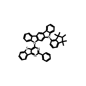 CC1C(C)(C)c2cccc(-n3c4ccccc4c4cc5c6ccccc6n(-c6nc(-c7ccccc7)nc7c6sc6ccccc67)c5cc43)c2C1(C)C